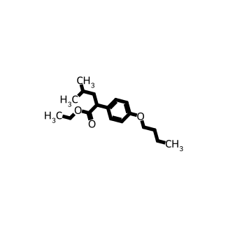 CCCCOc1ccc(C(CC(C)C)C(=O)OCC)cc1